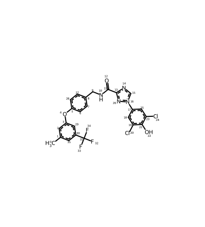 Cc1cc(Oc2ccc(CNC(=O)c3ncn(-c4cc(Cl)c(O)c(Cl)c4)n3)cc2)cc(C(F)(F)F)c1